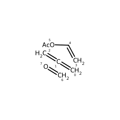 C=C=C.C=COC(C)=O.C=O